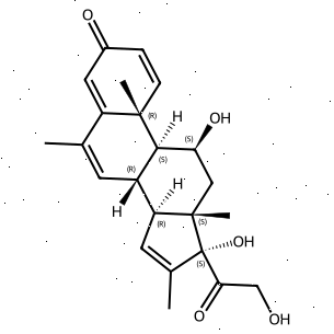 CC1=C[C@@H]2[C@H]([C@@H](O)C[C@@]3(C)[C@H]2C=C(C)[C@]3(O)C(=O)CO)[C@@]2(C)C=CC(=O)C=C12